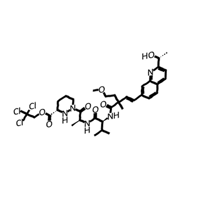 COCCC(C)(C=Cc1ccc2ccc([C@@H](C)O)nc2c1)C(=O)N[C@H](C(=O)N[C@@H](C)C(=O)N1CCC[C@@H](C(=O)OCC(Cl)(Cl)Cl)N1)C(C)C